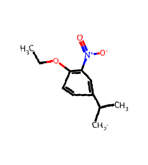 [CH2]C(C)c1ccc(OCC)c([N+](=O)[O-])c1